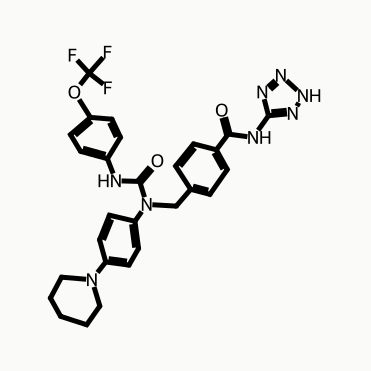 O=C(Nc1nn[nH]n1)c1ccc(CN(C(=O)Nc2ccc(OC(F)(F)F)cc2)c2ccc(N3CCCCC3)cc2)cc1